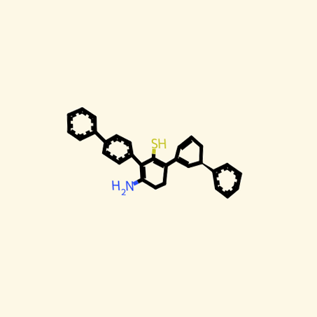 NC1=C(c2ccc(-c3ccccc3)cc2)C(S)=C(C2=C[C@H](c3ccccc3)CC=C2)CC1